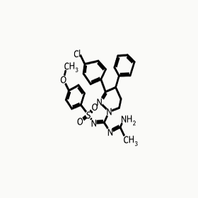 COc1ccc(S(=O)(=O)N=C(N=C(C)N)N2CCC(c3ccccc3)C(c3ccc(Cl)cc3)=N2)cc1